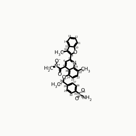 C=[N+]([O-])C(=O)c1cc(-c2oc3ccccc3c2C)nc2c(C)ccc(O[C@@H](C)c3ccc(S(N)(=O)=O)cc3)c12